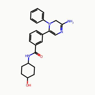 NC1=NC=C(c2cccc(C(=O)NC3CCC(O)CC3)c2)N(c2ccccc2)C1